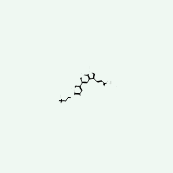 NC(=O)C=Cc1c[nH]c2ncc(-c3cnc(OCCC(F)(F)F)c(F)c3)cc12